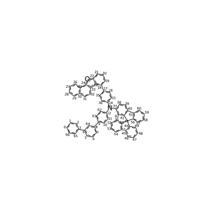 c1ccc(-c2cccc(-c3ccc(N(c4ccc(-c5cccc6oc7c8ccccc8ccc7c56)cc4)c4ccc5c(c4)C(c4ccccc4)(c4ccccc4)c4ccccc4-5)cc3)c2)cc1